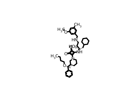 CCCCO[C@@H](c1ccccc1)[C@@H]1CCCN(c2c(N[C@@H](CC3CCCCC3)[C@H](O)CNCc3cc(C)cc(OC)c3)c(=O)c2=O)C1